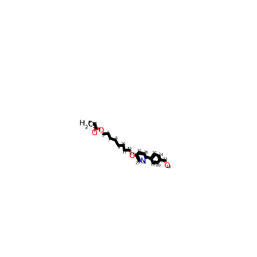 C=CC(=O)OCCCCCCCCOc1ccc(-c2ccc(C=O)cc2)nc1